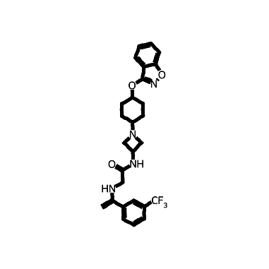 C=C(NCC(=O)NC1CN(C2CCC(Oc3noc4ccccc34)CC2)C1)c1cccc(C(F)(F)F)c1